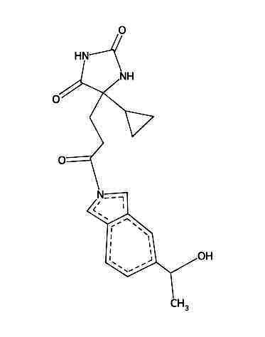 CC(O)c1ccc2cn(C(=O)CCC3(C4CC4)NC(=O)NC3=O)cc2c1